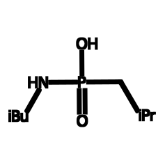 CCC(C)NP(=O)(O)CC(C)C